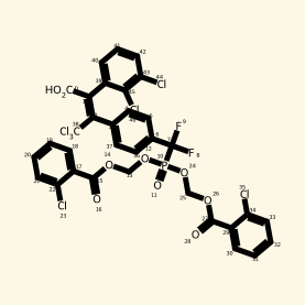 O=C(O)C(=C(c1ccc(C(F)(F)P(=O)(OCOC(=O)c2ccccc2Cl)OCOC(=O)c2ccccc2Cl)cc1)C(Cl)(Cl)Cl)c1cccc(Cl)c1Cl